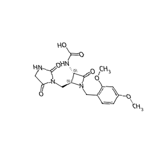 COc1ccc(CN2C(=O)[C@@H](NC(=O)O)[C@@H]2CN2C(=O)CNC2=O)c(OC)c1